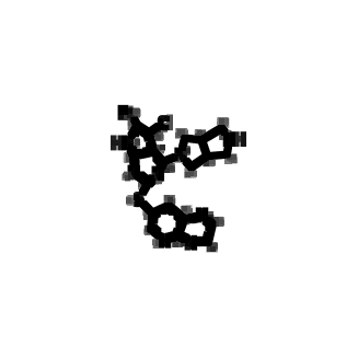 CCc1[nH]c2nc(Sc3cnc4nccnc4c3)nc(N3CC4CNCC4C3)c2c1Cl